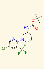 CC(C)(C)OC(=O)NC1CCCN(c2ncc(Cl)cc2C(F)(F)F)C1